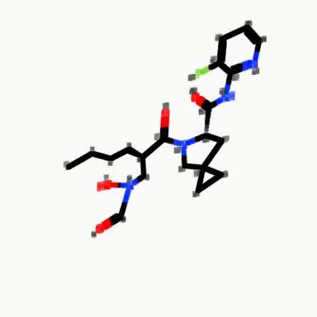 CCCC[C@H](CN(O)C=O)C(=O)N1CC2(CC2)C[C@H]1C(=O)Nc1ncccc1F